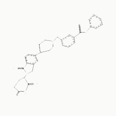 O=C1CCC(N2Cc3cc(C4CCN(Cc5cccc(C(=O)Nc6ccccc6)c5)CC4)ccc3C2=O)C(=O)N1